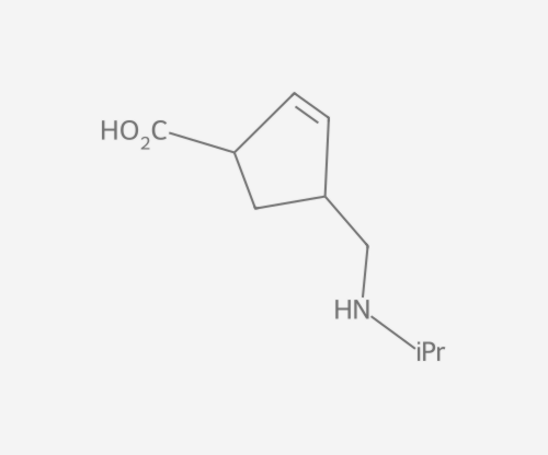 CC(C)NCC1C=CC(C(=O)O)C1